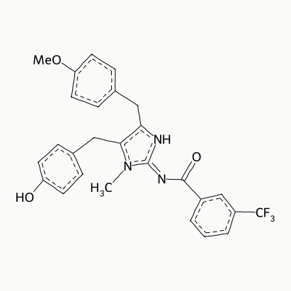 COc1ccc(Cc2[nH]/c(=N\C(=O)c3cccc(C(F)(F)F)c3)n(C)c2Cc2ccc(O)cc2)cc1